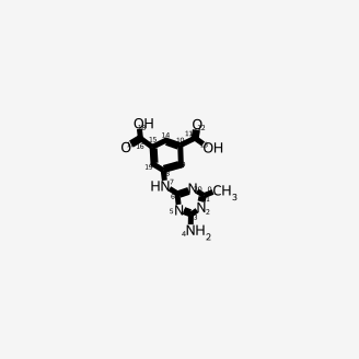 Cc1nc(N)nc(Nc2cc(C(=O)O)cc(C(=O)O)c2)n1